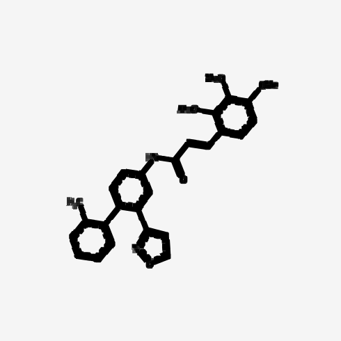 COc1ccc(C=CC(=O)Nc2ccc(-c3ccccc3C)c(-c3ccon3)c2)c(OC)c1OC